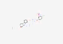 COc1ccc2c(c1)[nH]c1cc(OCCNC[C@H](O)c3ccc(Br)c(NS(C)(=O)=O)c3)ccc12